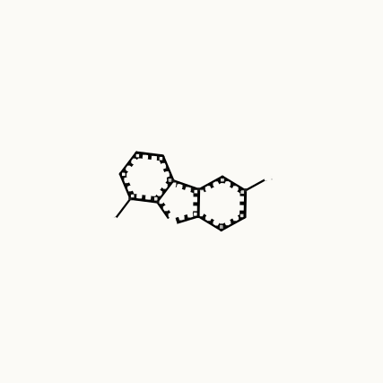 Clc1cccc2c1sc1ccc(Br)cc12